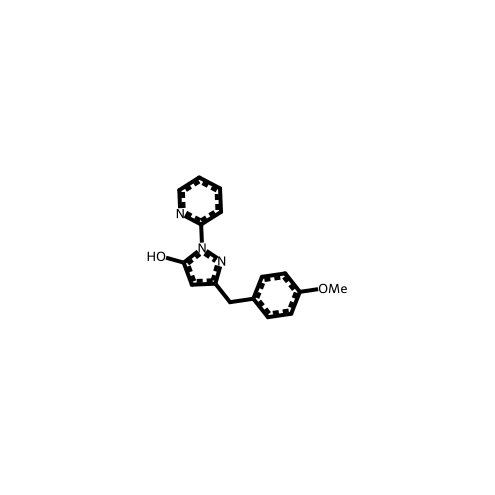 COc1ccc(Cc2cc(O)n(-c3ccccn3)n2)cc1